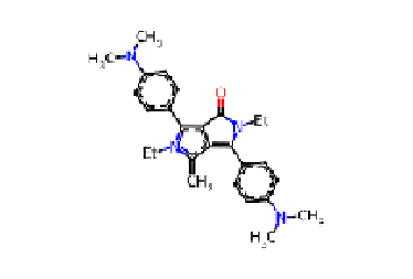 C=c1c2c(c(-c3ccc(N(C)C)cc3)n1CC)C(=O)N(CC)C=2c1ccc(N(C)C)cc1